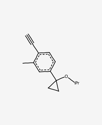 C#Cc1ccc(C2(OC(C)C)CC2)cc1C